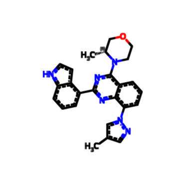 Cc1cnn(-c2cccc3c(N4CCOC[C@H]4C)nc(-c4cccc5[nH]ccc45)nc23)c1